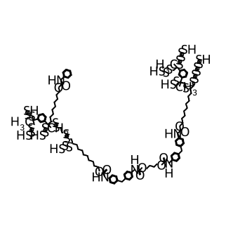 CC(CSC(CCCCCCCCCOC(=O)Nc1ccc(Cc2ccc(NC(=O)OCCCCOC(=O)Nc3ccc(Cc4ccc(NC(=O)OCCCCCCCCCC(CSSCCSSC(CCCCCCCCOC(=O)Nc5ccccc5)C(C)(SSS)c5cccc(C(C)(CSSS)SSS)c5)SSS)cc4)cc3)cc2)cc1)CSSSSSSS)(SS)c1cccc(C(C)(CSSS)SSSSS)c1